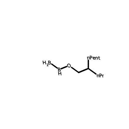 BBOCC(CCC)CCCCC